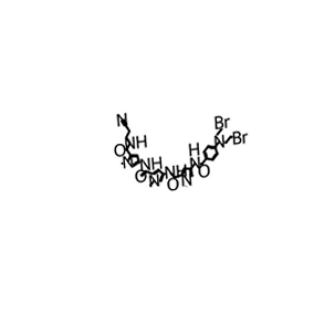 Cn1cc(NC(=O)c2cc(NC(=O)c3cc(NC(=O)c4ccc(N(CCBr)CCBr)cc4)cn3C)cn2C)cc1C(=O)NCCC#N